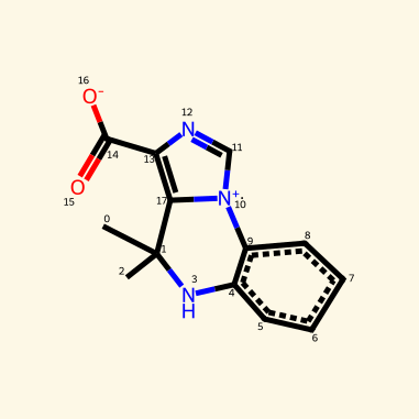 CC1(C)Nc2ccccc2[N+]2C=NC(C(=O)[O-])=C21